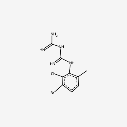 Cc1ccc(Br)c(Cl)c1NC(=N)NC(=N)N